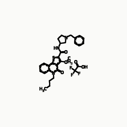 CCCCn1c(=O)c2c(OC)c(C(=O)NC3CCN(Cc4ccccc4)C3)sc2c2ccccc21.O=C(O)C(F)(F)F